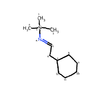 C[Si](C)(C)N=CCC1CCCCC1